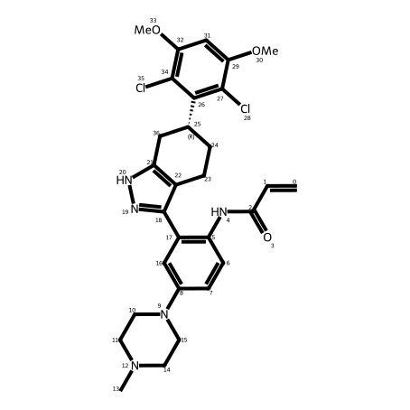 C=CC(=O)Nc1ccc(N2CCN(C)CC2)cc1-c1n[nH]c2c1CC[C@@H](c1c(Cl)c(OC)cc(OC)c1Cl)C2